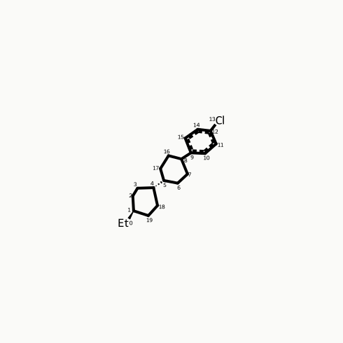 CC[C@H]1CC[C@H](C2CCC(c3ccc(Cl)cc3)CC2)CC1